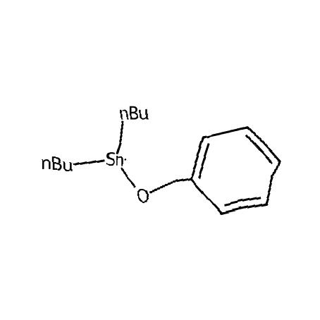 CCC[CH2][Sn]([CH2]CCC)[O]c1ccccc1